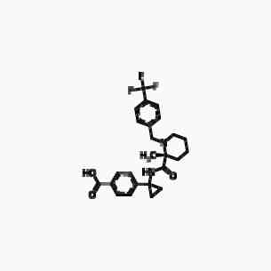 C[C@]1(C(=O)NC2(c3ccc(C(=O)O)cc3)CC2)CCCCN1Cc1ccc(C(F)(F)F)cc1